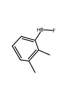 Cc1cccc(BF)c1C